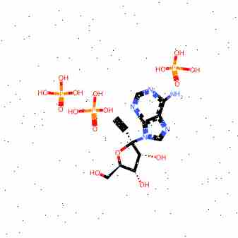 C#C[C@@]1(n2cnc3c(N)ncnc32)O[C@H](CO)[C@@H](O)[C@H]1O.O=P(O)(O)O.O=P(O)(O)O.O=P(O)(O)O